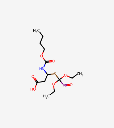 CCCCOC(=O)NC(CC(=O)O)SC(OCC)(OCC)P=O